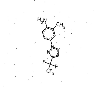 Cc1cc(-n2ccc(C(F)(F)C(F)(F)F)n2)ccc1N